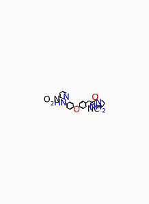 N#C[C@@H]1CCCN1C(=O)[C@@H](N)Cc1ccc(Oc2ccc(Nc3ncccc3[N+](=O)[O-])cc2)cc1